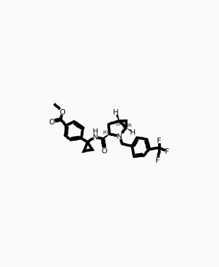 COC(=O)c1ccc(C2(NC(=O)[C@H]3C[C@@H]4C[C@H]4N3Cc3ccc(C(F)(F)F)cc3)CC2)cc1